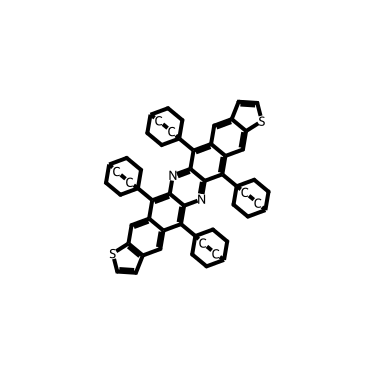 c1cc2cc3c(C45CCC(CC4)CC5)c4nc5c(C67CCC(CC6)CC7)c6cc7sccc7cc6c(C67CCC(CC6)CC7)c5nc4c(C45CCC(CC4)CC5)c3cc2s1